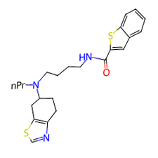 CCCN(CCCCNC(=O)c1cc2ccccc2s1)C1CCc2ncsc2C1